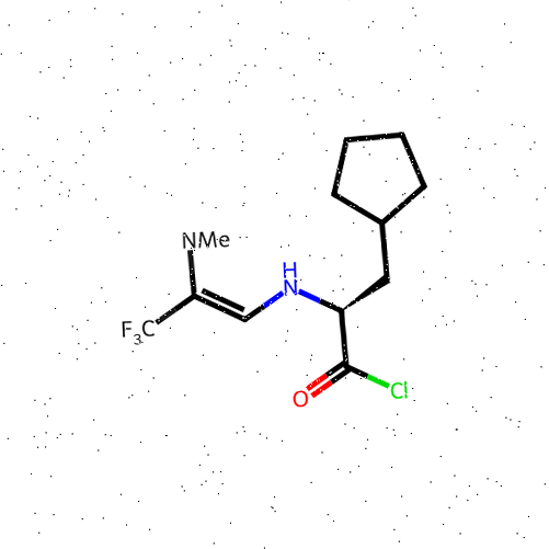 CN/C(=C\N[C@@H](CC1CCCC1)C(=O)Cl)C(F)(F)F